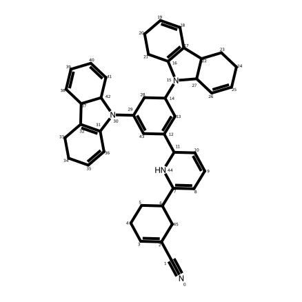 N#CC1=CCCC(C2=CC=CC(C3=CC(N4C5=C(C=CCC5)C5CCC=CC54)CC(N4C5=C(CCC=C5)C5C=CC=CC54)=C3)N2)C1